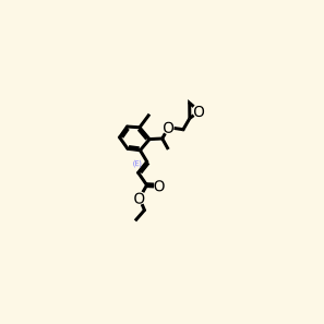 CCOC(=O)/C=C/c1cccc(C)c1C(C)OCC1CO1